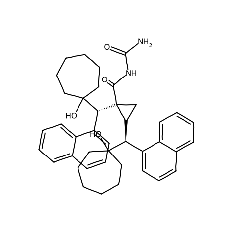 NC(=O)NC(=O)C1([C@H](c2cccc3ccccc23)C2(O)CCCCCC2)CC1[C@@H](c1cccc2ccccc12)C1(O)CCCCCC1